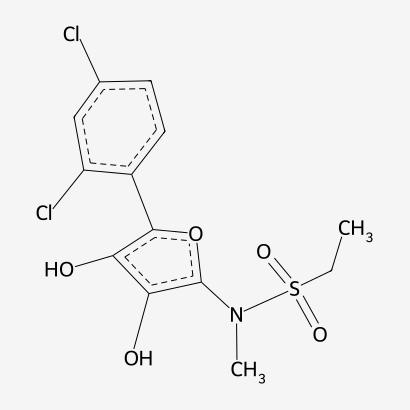 CCS(=O)(=O)N(C)c1oc(-c2ccc(Cl)cc2Cl)c(O)c1O